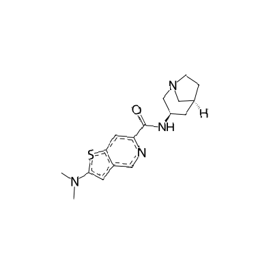 CN(C)c1cc2cnc(C(=O)N[C@@H]3C[C@@H]4CCN(C4)C3)cc2s1